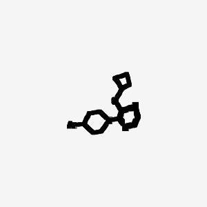 CC(=O)C1CCN(c2nccnc2OC2CCC2)CC1